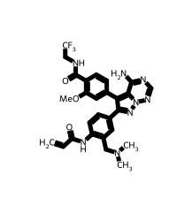 C=CC(=O)Nc1ccc(-c2nn3ncnc(N)c3c2-c2ccc(C(=O)NCC(F)(F)F)c(OC)c2)cc1CN(C)C